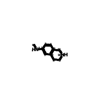 CNc1ccc2c(c1)CCNC2